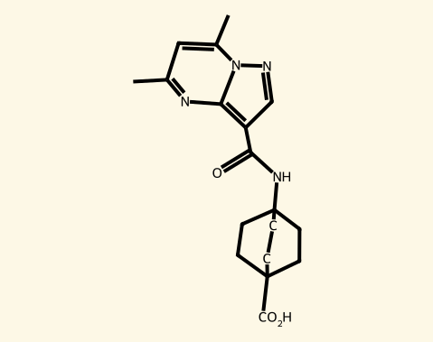 Cc1cc(C)n2ncc(C(=O)NC34CCC(C(=O)O)(CC3)CC4)c2n1